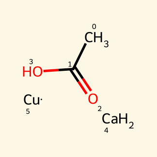 CC(=O)O.[CaH2].[Cu]